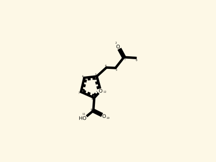 CC(=O)CCc1ccc(C(=O)O)o1